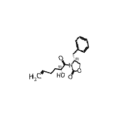 C=CCC[C@@H](O)C(=O)N1C(=O)OC[C@H]1Cc1ccccc1